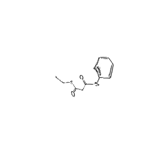 CCSC(=O)CC(=O)Sc1ccccc1